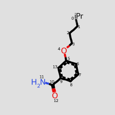 CC(C)CCCOc1cccc(C(N)=O)c1